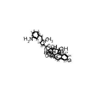 Cn1c(Cc2cccc(N)c2)ccc1[C@@H]1O[C@@H]2C[C@H]3[C@@H]4CCC5=CC(=O)C=C[C@]5(C)[C@H]4[C@@H](O)C[C@]3(C)[C@]2(C(=O)CO)O1